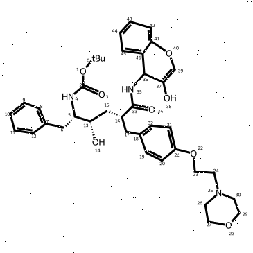 CC(C)(C)OC(=O)N[C@@H](Cc1ccccc1)[C@@H](O)C[C@@H](Cc1ccc(OCCN2CCOCC2)cc1)C(=O)NC1C(O)=COc2ccccc21